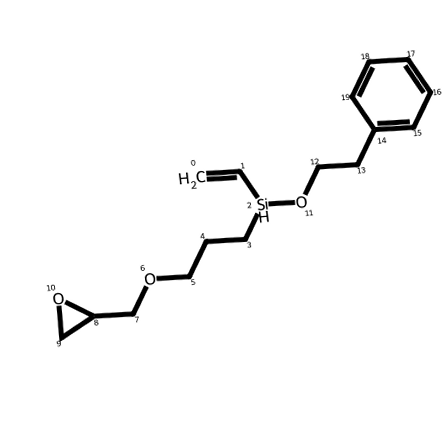 C=C[SiH](CCCOCC1CO1)OCCc1ccccc1